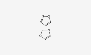 c1conn1.c1nnco1